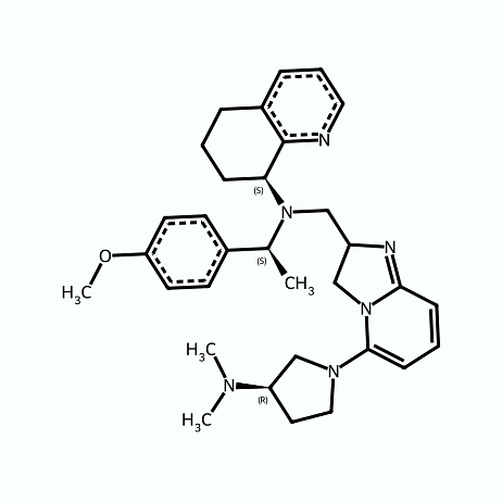 COc1ccc([C@H](C)N(CC2CN3C(N4CC[C@@H](N(C)C)C4)=CC=CC3=N2)[C@H]2CCCc3cccnc32)cc1